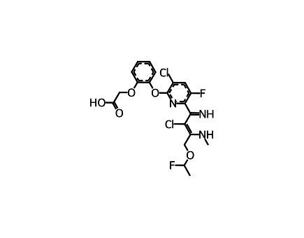 CN/C(COC(C)F)=C(/Cl)C(=N)c1nc(Oc2ccccc2OCC(=O)O)c(Cl)cc1F